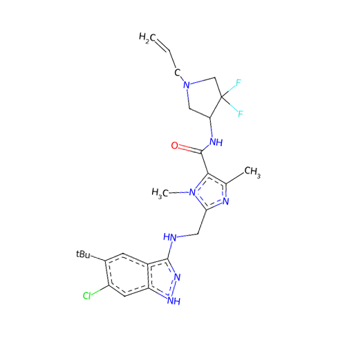 C=CCN1CC(NC(=O)c2c(C)nc(CNc3n[nH]c4cc(Cl)c(C(C)(C)C)cc34)n2C)C(F)(F)C1